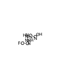 Oc1cncc(-c2ccc3[nH]nc(-c4nc5c(-c6ccc(F)cc6)ccnc5[nH]4)c3n2)c1